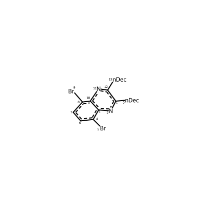 CCCCCCCCCCc1nc2c(Br)ccc(Br)c2nc1CCCCCCCCCC